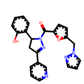 O=C(c1ccc(Cn2cccn2)o1)N1N=C(c2cccnc2)CC1c1ccccc1O